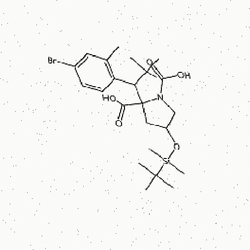 Cc1cc(Br)ccc1C(C(C)(C)C)C1(C(=O)O)CC(O[Si](C)(C)C(C)(C)C)CN1C(=O)O